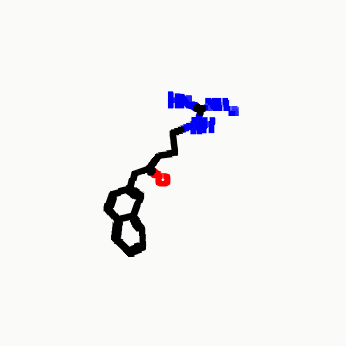 N=C(N)NCCCC(=O)Cc1ccc2ccccc2c1